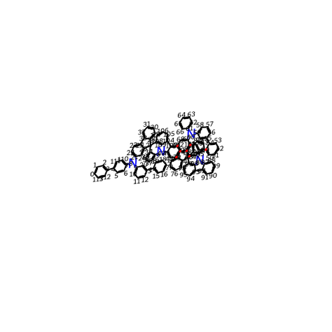 c1ccc(-c2ccc(N(c3cccc(-c4ccccc4)c3)c3ccc4c(c3)C3(c5ccccc5-4)c4ccccc4-n4c5ccc(-c6ccc(-c7ccccc7-c7cccc(N(c8ccccc8)c8ccc9c(c8)C8(c%10ccccc%10-9)c9ccccc9-n9c%10ccccc%10c%10cccc8c%109)c7)cc6)cc5c5cccc3c54)cc2)cc1